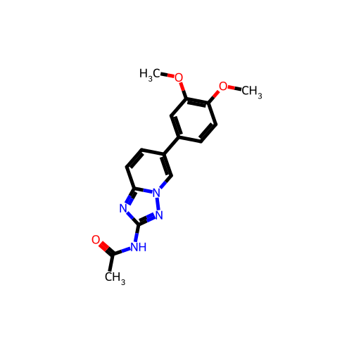 COc1ccc(-c2ccc3nc(NC(C)=O)nn3c2)cc1OC